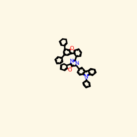 C1=CCC2C(=C1)Oc1c(-c3ccc4c(c3)c3ccccc3n4-c3ccccc3)nc(-c3cccc4oc5c(C6=CCCC=C6)cc(-c6ccccc6)cc5c34)nc12